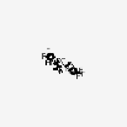 Cc1nsc(Nc2cnc3cc(C(F)(F)F)ccc3n2)c1C(=O)Nc1ccc(F)c(F)c1